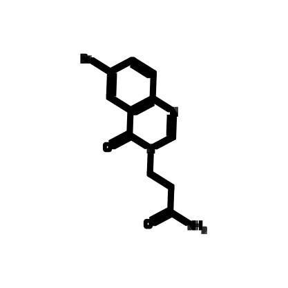 NC(=O)CCn1cnc2ccc(Br)cc2c1=O